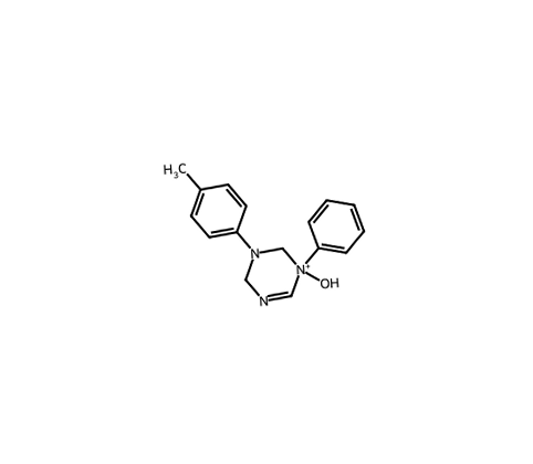 Cc1ccc(N2CN=C[N+](O)(c3ccccc3)C2)cc1